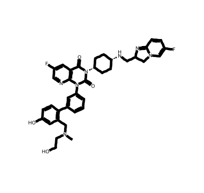 CN(CCO)Cc1cc(O)ccc1-c1cccc(-n2c(=O)n([C@H]3CC[C@@H](NCC4CN5C=C(F)C=CC5=N4)CC3)c(=O)c3cc(F)cnc32)c1